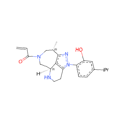 C=CC(=O)N1C[C@@H]2NCCc3c2c(nn3-c2ccc(C(C)C)cc2O)[C@@H](C)C1